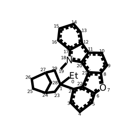 CCC1(c2cccc3oc4ccc5c6ccccc6n(C)c5c4c23)CC2CCC(C2)C1